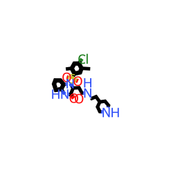 Cc1cc(S(=O)(=O)N2c3ccccc3NC(=O)C2CC(=O)NCCC2CCNCC2)c(C)cc1Cl